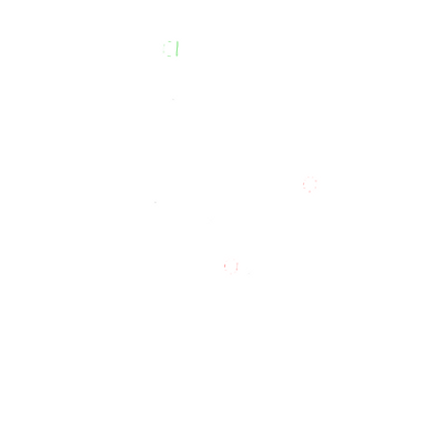 CCOc1ccc(Cl)cc1OC